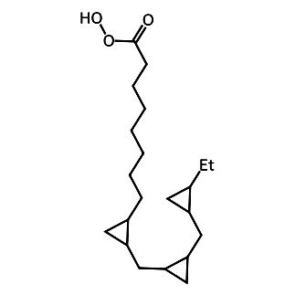 CCC1CC1CC1CC1CC1CC1CCCCCCCC(=O)OO